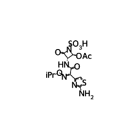 CC(=O)O[C@H]1[C@H](NC(=O)C(=NOC(C)C)c2csc(N)n2)C(=O)N1S(=O)(=O)O